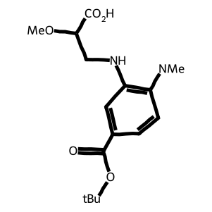 CNc1ccc(C(=O)OC(C)(C)C)cc1NCC(OC)C(=O)O